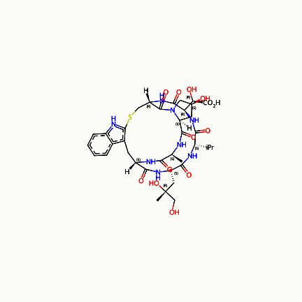 CC(C)[C@@H]1NC(=O)[C@H](C[C@@](C)(O)CO)NC(=O)[C@@H]2Cc3c([nH]c4ccccc34)SC[C@H](NC(=O)[C@@H]([C@@H](O)C(=O)O)NC1=O)C(=O)N1C[C@@H](O)C[C@H]1C(=O)N[C@@H](C)C(=O)N2